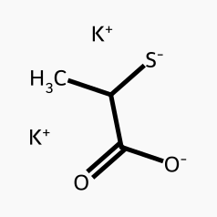 CC([S-])C(=O)[O-].[K+].[K+]